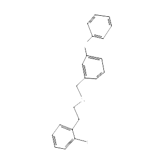 Fc1ccccc1CCNCc1cccc(Oc2ccccc2)c1